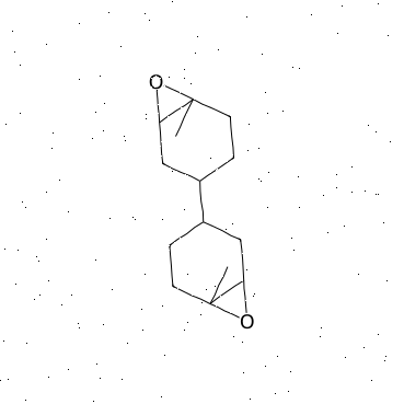 CC12CCC(C3CCC4(C)OC4C3)CC1O2